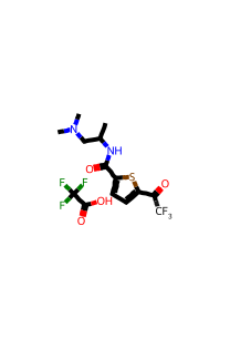 CC(CN(C)C)NC(=O)c1ccc(C(=O)C(F)(F)F)s1.O=C(O)C(F)(F)F